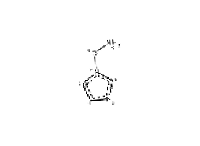 NOn1ccnc1